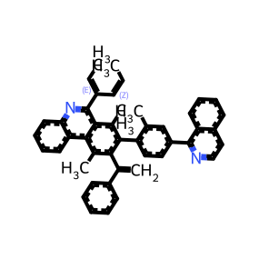 C=C(c1ccccc1)c1c(-c2ccc(-c3nccc4ccccc34)cc2C)c(C)c2c(C(/C=C\C)=C/C)nc3ccccc3c2c1C